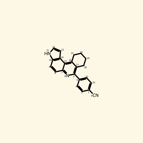 N#Cc1ccc(-c2nc3ccc4[nH]ccc4c3c3c2CCCC3)cc1